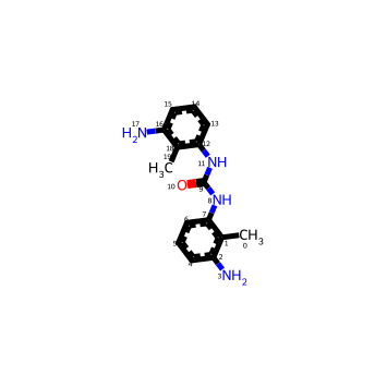 Cc1c(N)cccc1NC(=O)Nc1cccc(N)c1C